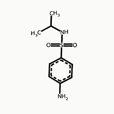 CC(C)NS(=O)(=O)c1ccc(N)cc1